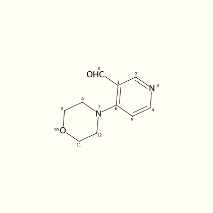 O=Cc1cnccc1N1CCOCC1